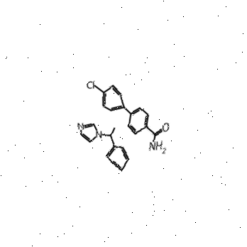 CC(c1ccccc1)n1ccnc1.NC(=O)c1ccc(-c2ccc(Cl)cc2)cc1